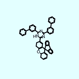 C1=CCC2OC3=C(C=C(C4=NC(c5cccc(-c6ccccc6)c5)=NC(c5cccc(-c6ccccc6)c5)N4)CC3)C3(C2=C1)c1ccccc1-c1ccccc13